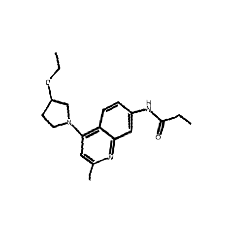 CCOC1CCN(c2cc(C)nc3cc(NC(=O)CC)ccc23)C1